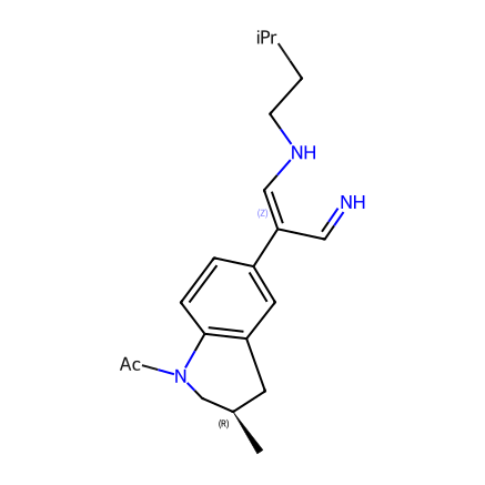 CC(=O)N1C[C@H](C)Cc2cc(/C(C=N)=C/NCCC(C)C)ccc21